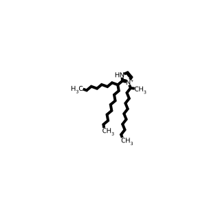 CCCCCCCCCCC(C)[n+]1cc[nH]c1C(CCCCCCC)CCCCCCCCC